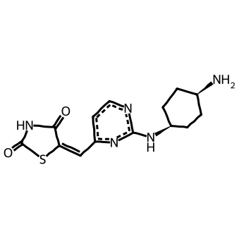 N[C@H]1CC[C@@H](Nc2nccc(C=C3SC(=O)NC3=O)n2)CC1